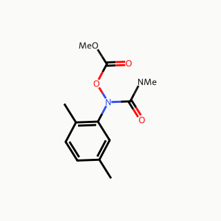 CNC(=O)N(OC(=O)OC)c1cc(C)ccc1C